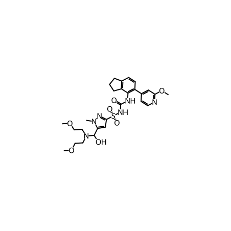 COCCN(CCOC)C(O)c1cc(S(=O)(=O)NC(=O)Nc2c(-c3ccnc(OC)c3)ccc3c2CCC3)nn1C